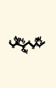 CCC(N)CCC(O)C(N)CC